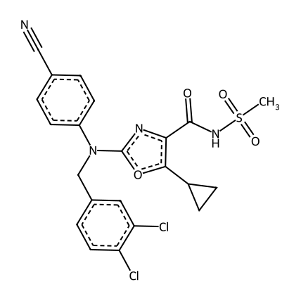 CS(=O)(=O)NC(=O)c1nc(N(Cc2ccc(Cl)c(Cl)c2)c2ccc(C#N)cc2)oc1C1CC1